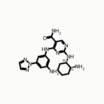 NC(=O)c1cnc(N[C@@H]2CCCC[C@@H]2N)nc1Nc1cc(N)cc(-n2nccn2)c1